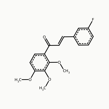 COc1ccc(C(=O)C=Cc2cccc(F)c2)c(OC)c1OC